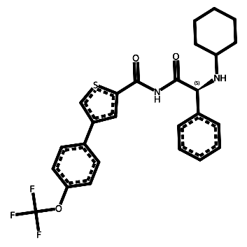 O=C(NC(=O)[C@@H](NC1CCCCC1)c1ccccc1)c1cc(-c2ccc(OC(F)(F)F)cc2)cs1